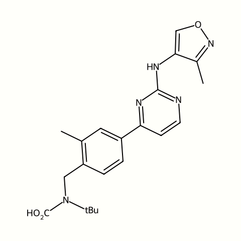 Cc1cc(-c2ccnc(Nc3conc3C)n2)ccc1CN(C(=O)O)C(C)(C)C